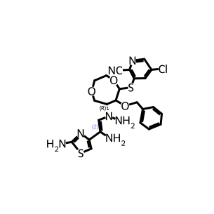 N#Cc1ncc(Cl)cc1SC1OCCOC[C@@H](N(N)/C=C(\N)c2csc(N)n2)C1OCc1ccccc1